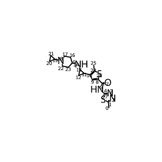 Cc1nnc(NC(=O)c2cc(C3CC3NC3CCN(C4CC4)CC3)c(C)s2)s1